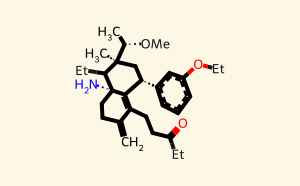 C=C1CC[C@]2(N)C(=C1CCC(=O)CC)[C@@H](c1cccc(OCC)c1)C[C@](C)([C@H](C)OC)C2CC